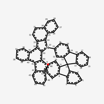 c1ccc2c(c1)-c1ccccc1C21c2ccccc2-c2ccc(-n3c4c5ccccc5ccc4c4c5ccccc5c5c6ccccc6sc5c43)cc21